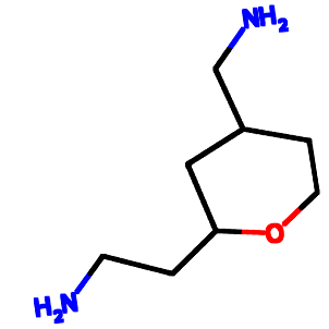 NCCC1CC(CN)CCO1